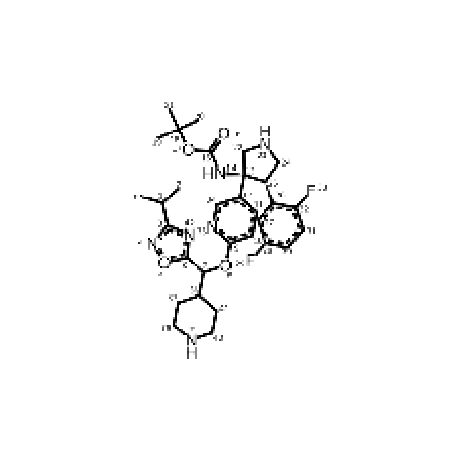 CC(C)c1noc(C(Oc2ccc([C@]3(NC(=O)OC(C)(C)C)CNC[C@H]3c3cc(F)ccc3F)cn2)C2CCNCC2)n1